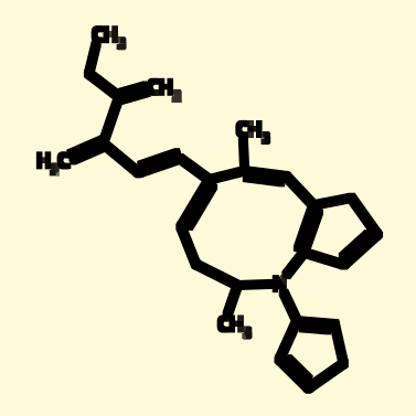 C=C(C=C/C1=C/CC(C)N(C2=CCC=C2)C2=C(C=C1C)CC=C2)C(=C)CC